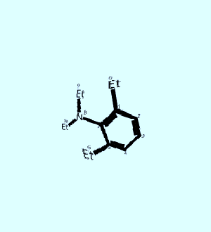 CCc1cccc(CC)c1N(CC)CC